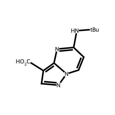 CC(C)(C)Nc1ccn2ncc(C(=O)O)c2n1